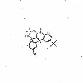 CC1(C)CC2=C(C(=O)N1)C(C)(c1cccc(Br)c1)c1cc(C(F)(F)F)cnc1N2